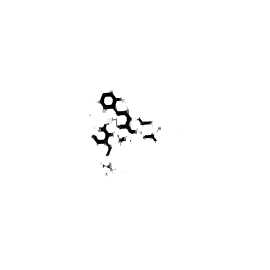 CC(C)c1nccc(CCO[Si](C)(C)C(C)(C)C)c1-n1c(=O)nc(N2CC(C)N(C(=O)O)CC2C)c2cc(Cl)c(-c3c(F)cccc3C=O)nc21